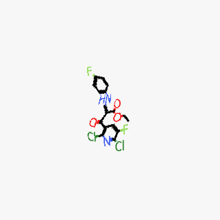 CCOC(=O)C(=CNc1ccc(F)cc1)C(=O)c1cc(F)c(Cl)nc1Cl